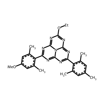 CCOC1=NC2=NC(c3c(C)cc(C)cc3C)=NC3=NC(c4c(C)cc(OC)cc4C)=NC(=N1)N23